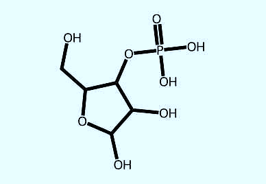 O=P(O)(O)OC1C(CO)OC(O)C1O